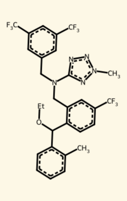 CCOC(c1ccccc1C)c1ccc(C(F)(F)F)cc1CN(Cc1cc(C(F)(F)F)cc(C(F)(F)F)c1)c1nnn(C)n1